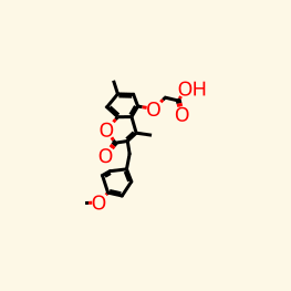 COc1ccc(Cc2c(C)c3c(OCC(=O)O)cc(C)cc3oc2=O)cc1